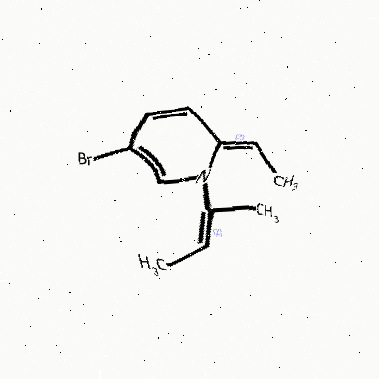 C/C=C(/C)N1C=C(Br)C=C/C1=C/C